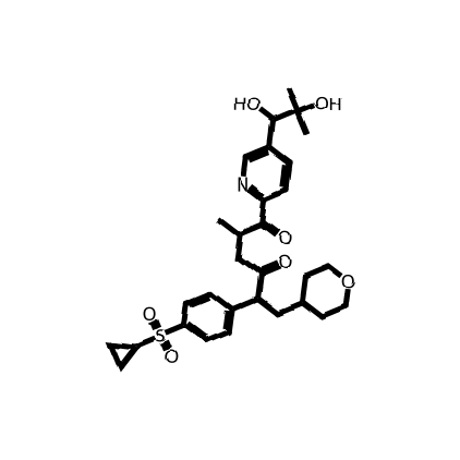 CC(CC(=O)C(CC1CCOCC1)c1ccc(S(=O)(=O)C2CC2)cc1)C(=O)c1ccc(C(O)C(C)(C)O)cn1